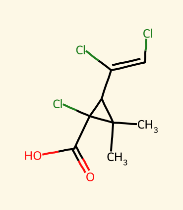 CC1(C)C(C(Cl)=CCl)C1(Cl)C(=O)O